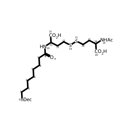 CCCCCCCCCCCCCCCCCC(=O)NC(CCSSCCC(NC(C)=O)C(=O)O)C(=O)O